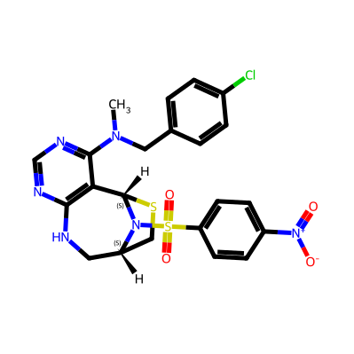 CN(Cc1ccc(Cl)cc1)c1ncnc2c1[C@@H]1SC[C@H](CN2)N1S(=O)(=O)c1ccc([N+](=O)[O-])cc1